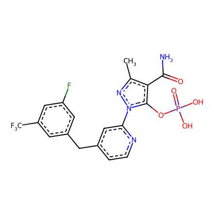 Cc1nn(-c2cc(Cc3cc(F)cc(C(F)(F)F)c3)ccn2)c(OP(=O)(O)O)c1C(N)=O